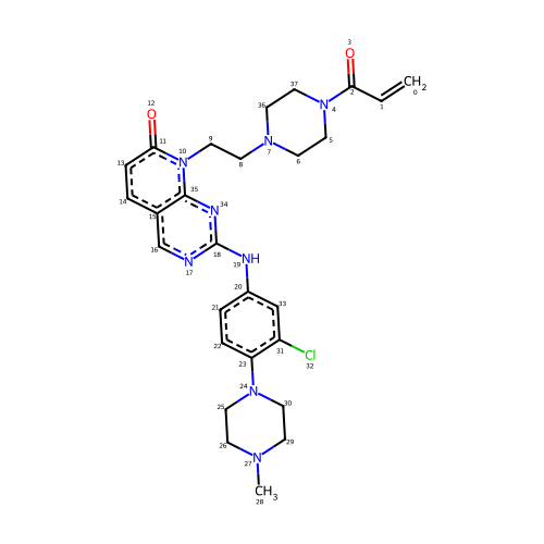 C=CC(=O)N1CCN(CCn2c(=O)ccc3cnc(Nc4ccc(N5CCN(C)CC5)c(Cl)c4)nc32)CC1